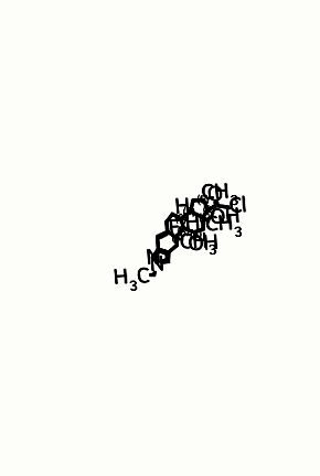 CCn1cc2c(n1)C=C1CC[C@H]3[C@@H]4C[C@H](C)[C@](O)(C(=O)CCl)[C@@]4(C)C[C@H](O)[C@]3(F)[C@@]1(C)C2